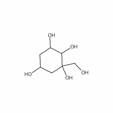 OCC1(O)CC(O)CC(O)C1O